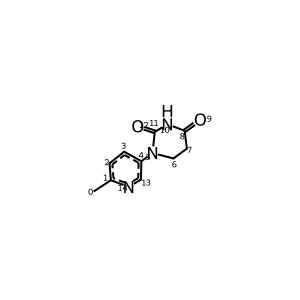 Cc1ccc(N2CCC(=O)NC2=O)cn1